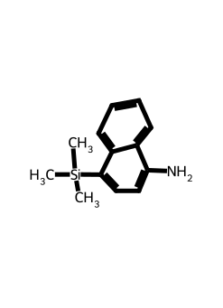 C[Si](C)(C)c1ccc(N)c2ccccc12